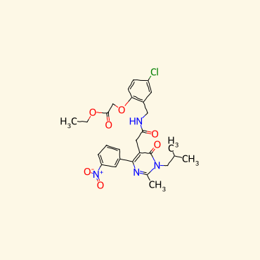 CCOC(=O)COc1ccc(Cl)cc1CNC(=O)Cc1c(-c2cccc([N+](=O)[O-])c2)nc(C)n(CC(C)C)c1=O